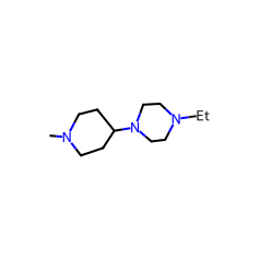 CCN1CCN(C2CCN(C)CC2)CC1